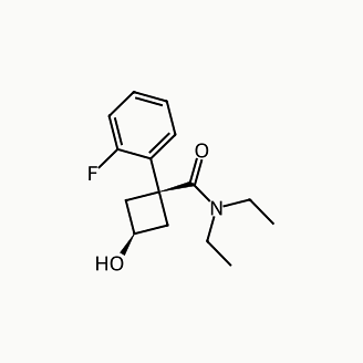 CCN(CC)C(=O)[C@]1(c2ccccc2F)C[C@H](O)C1